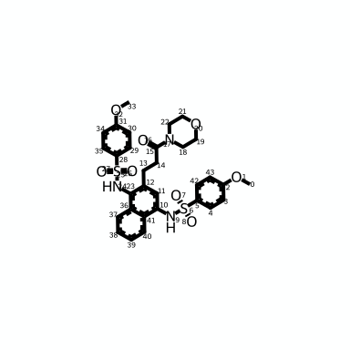 COc1ccc(S(=O)(=O)Nc2cc(CCC(=O)N3CCOCC3)c(NS(=O)(=O)c3ccc(OC)cc3)c3ccccc23)cc1